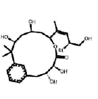 CC[C@@H](/C=C(/C)C1C[C@H](O)C[C@H](O)C(C)(C)c2cccc(c2)C[C@@H](O)[C@H](O)C(=O)O1)CO